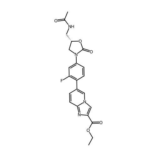 CCOC(=O)c1cn2cc(-c3ccc(N4C[C@H](CNC(C)=O)OC4=O)cc3F)ccc2n1